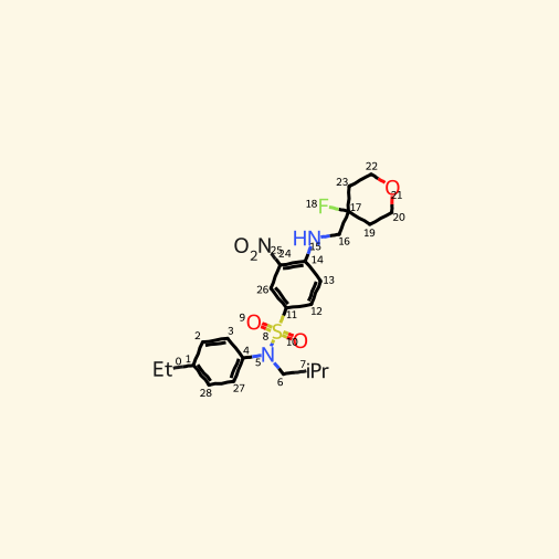 CCc1ccc(N(CC(C)C)S(=O)(=O)c2ccc(NCC3(F)CCOCC3)c([N+](=O)[O-])c2)cc1